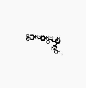 Cn1cc(-c2ccncc2C=CC(=O)Nc2ccc(CNC3CCS(=O)(=O)CC3)cc2)cn1